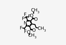 CCCc1c(C(=O)OC)c(C(F)F)nc(C(F)(F)F)c1C(=O)OCC